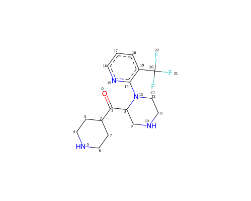 O=C(C1CCNCC1)C1CNCCN1c1ncccc1C(F)(F)F